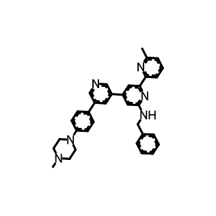 Cc1cccc(-c2cc(-c3cncc(-c4ccc(N5CCN(C)CC5)cc4)c3)cc(NCc3ccccc3)n2)n1